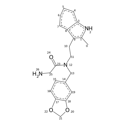 Cc1[nH]c2ccccc2c1CCN(Cc1ccc2c(c1)OCO2)C(=O)CN